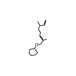 C=CC(C)CCC=C(C)COC1CCCCC1